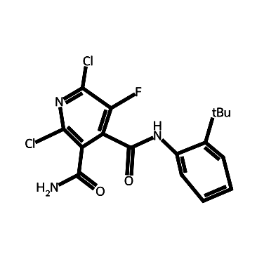 CC(C)(C)c1ccccc1NC(=O)c1c(F)c(Cl)nc(Cl)c1C(N)=O